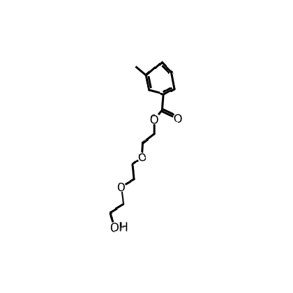 Cc1cccc(C(=O)OCCOCCOCCO)c1